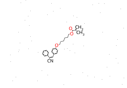 C=C(C)C(=O)OCCCCCCOc1ccc(C=C(C#N)c2ccccc2)cc1